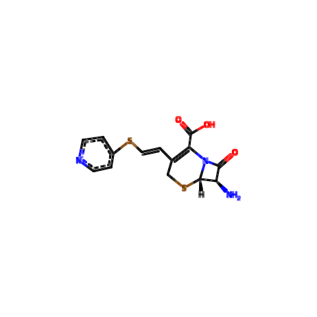 N[C@@H]1C(=O)N2C(C(=O)O)=C(/C=C/Sc3ccncc3)CS[C@@H]12